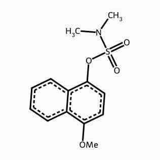 COc1ccc(OS(=O)(=O)N(C)C)c2ccccc12